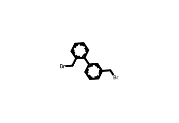 BrCc1cccc(-c2ccccc2CBr)c1